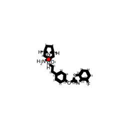 NC(=O)N1[C@@H]2CC[C@H]1CC(NCCc1ccc(Oc3nc4c(F)cccc4s3)cc1)C2